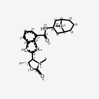 C[C@H]1OC(=O)N(C)C1c1nc2c(C(=O)NC3CC4CCCC(C3)N4C)cccc2o1